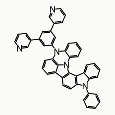 c1ccc(-n2c3ccccc3c3c2ccc2c4cccc5c4n(c23)-c2ccccc2N5c2cc(-c3cccnc3)cc(-c3cccnc3)c2)cc1